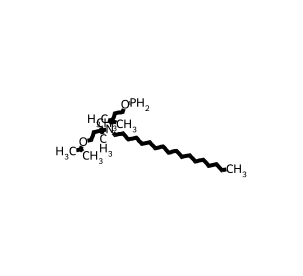 CCCCCCCCCCCCCCCCCCN(C(C)(C)CCOP)C(C)(C)CCOC(C)C